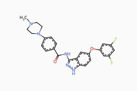 CN1CCN(c2ccc(C(=O)Nc3n[nH]c4ccc(Oc5cc(F)cc(F)c5)cc34)cc2)CC1